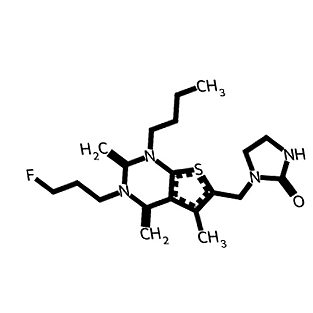 C=C1c2c(sc(CN3CCNC3=O)c2C)N(CCCC)C(=C)N1CCCF